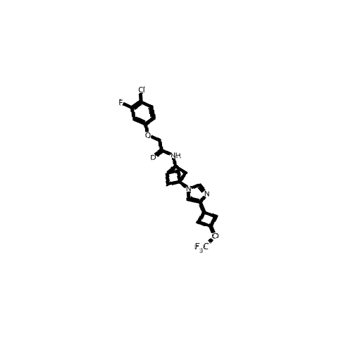 O=C(COc1ccc(Cl)c(F)c1)NC1CC2(n3cnc(C4CC(OC(F)(F)F)C4)c3)CC1C2